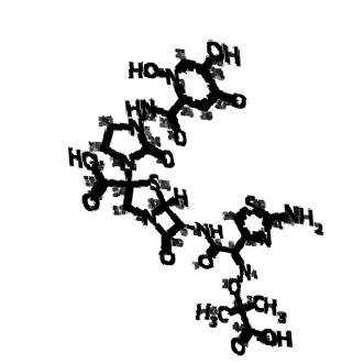 CC(C)(O/N=C(\C(=O)N[C@@H]1C(=O)N2C[C@@](C(=O)O)(N3CCN(NC(=O)c4cc(=O)c(O)cn4O)C3=O)S[C@H]12)c1csc(N)n1)C(=O)O